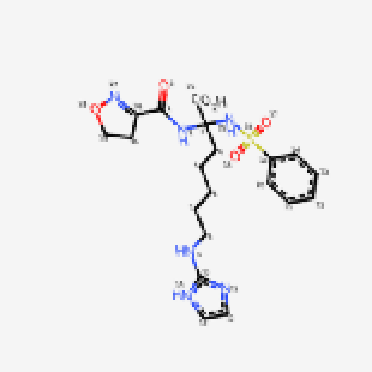 O=C(NC(CCCCCNc1ncc[nH]1)(NS(=O)(=O)c1ccccc1)C(=O)O)C1=NOCC1